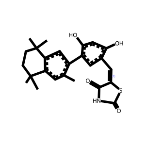 Cc1cc2c(cc1-c1cc(/C=C3/SC(=O)NC3=O)c(O)cc1O)C(C)(C)CCC2(C)C